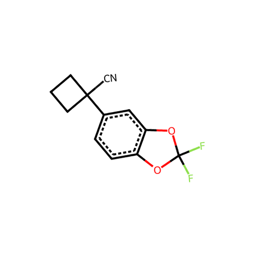 N#CC1(c2ccc3c(c2)OC(F)(F)O3)CCC1